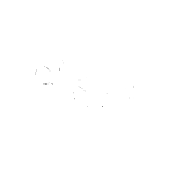 O=C1CC[C@](CCN2CCS(O)(O)CC2)(c2ccc(Cl)c(Cl)c2)CN1c1ccccn1